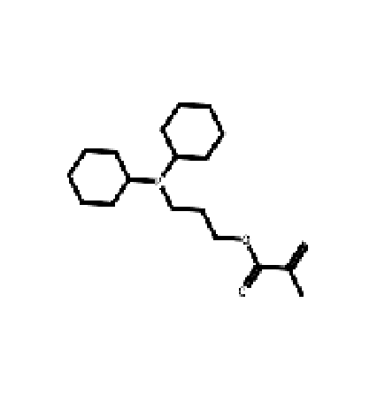 C=C(C)C(=O)OCCCP(C1CCCCC1)C1CCCCC1